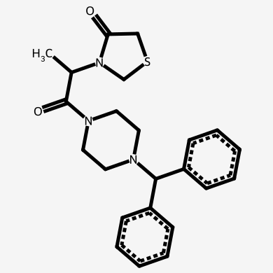 CC(C(=O)N1CCN(C(c2ccccc2)c2ccccc2)CC1)N1CSCC1=O